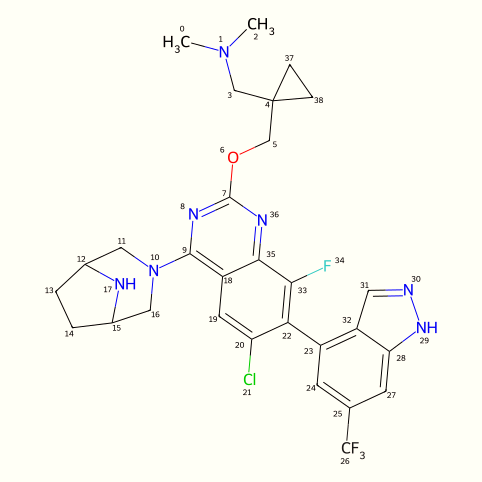 CN(C)CC1(COc2nc(N3CC4CCC(C3)N4)c3cc(Cl)c(-c4cc(C(F)(F)F)cc5[nH]ncc45)c(F)c3n2)CC1